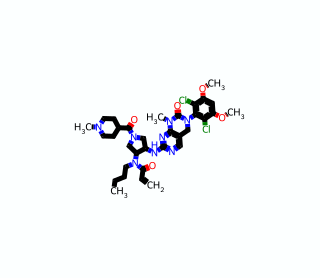 C=CC(=O)N(CCCC)C1CN(C(=O)C2CCN(C)CC2)CC1Nc1ncc2c(n1)N(C)C(=O)N(c1c(Cl)c(OC)cc(OC)c1Cl)C2